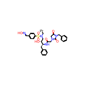 CC(C)CN(C[C@@H](O)[C@H](Cc1ccccc1)NC(=O)CN1CC(=O)N(Cc2ccccc2)C1=O)S(=O)(=O)c1ccc(/C=N/O)cc1